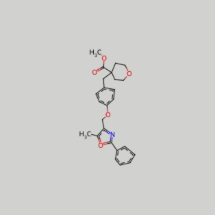 COC(=O)C1(Cc2ccc(OCc3nc(-c4ccccc4)oc3C)cc2)CCOCC1